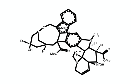 CC[C@]1(O)C[C@@H]2CN(CCc3c([nH]c4ccccc34)[C@@](C(=O)OC)(c3cc4c(cc3OC)N(C)[C@H]3[C@@](O)(C(=O)OC)[C@H](O)[C@]5(CC)C=CCN6CC[C@]43[C@@H]65)C2)C1